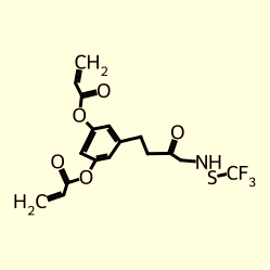 C=CC(=O)Oc1cc(CCC(=O)CNSC(F)(F)F)cc(OC(=O)C=C)c1